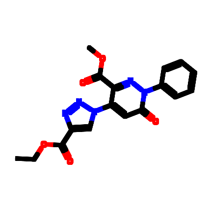 CCOC(=O)c1cn(-c2cc(=O)n(-c3ccccc3)nc2C(=O)OC)nn1